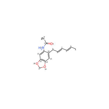 CC(C)C(N)=O.CC=CC=CCc1ccc2c(c1)OCO2